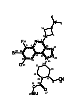 CN(C)C1CN(c2nc3c(F)c(Br)c(Cl)cc3c3c2nnn3[C@H]2CCN(C(=O)OC(C)(C)C)[C@H](CC#N)C2)C1